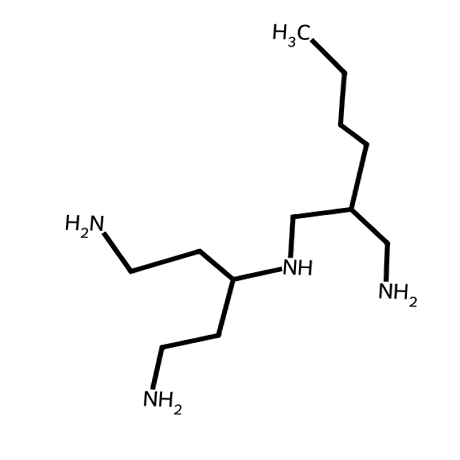 CCCCC(CN)CNC(CCN)CCN